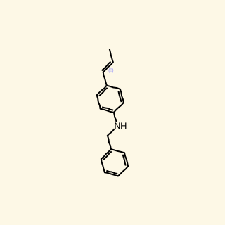 C/C=C/c1ccc(NCc2ccccc2)cc1